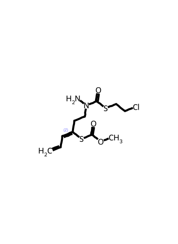 C=C/C=C(/CCN(N)C(=O)SCCCl)SC(=O)OC